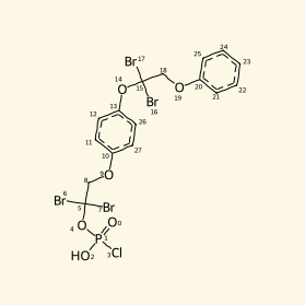 O=P(O)(Cl)OC(Br)(Br)COc1ccc(OC(Br)(Br)COc2ccccc2)cc1